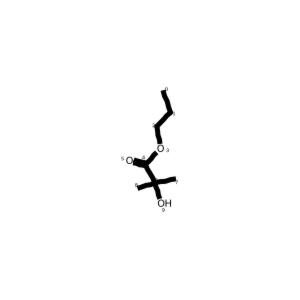 CCCOC(=O)C(C)(C)O